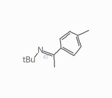 C/C(=N\C(C)(C)C)c1ccc(C)cc1